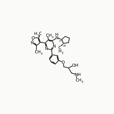 CNCC(O)COc1cccc(-c2nc(N[C@H]3CCC[C@H]3C)c(C)c(-c3c(C)noc3C)n2)c1